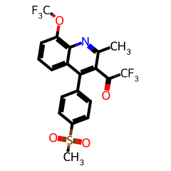 Cc1nc2c(OC(F)(F)F)cccc2c(-c2ccc(S(C)(=O)=O)cc2)c1C(=O)C(F)(F)F